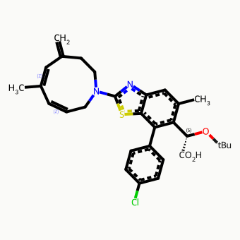 C=C1/C=C(C)\C=C/CN(c2nc3cc(C)c([C@H](OC(C)(C)C)C(=O)O)c(-c4ccc(Cl)cc4)c3s2)CC1